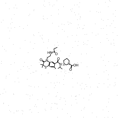 CCC(=O)NCCN1C(=O)C(C)(C)Sc2cc(C)c(C(=O)N(C(C)C)[C@@H]3CCCN(C(=O)O)C3)cc21